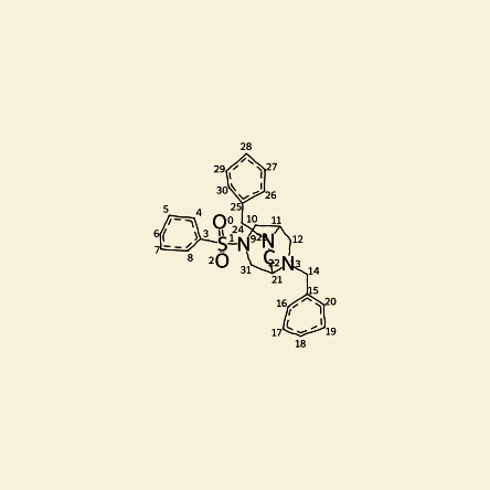 O=S(=O)(c1ccccc1)N1CC2CN(Cc3ccccc3)C(CN2Cc2ccccc2)C1